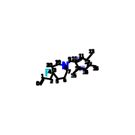 C=CCC1(F)CCCN(CC(=C/CC)/C(C)=C\CC)CC1